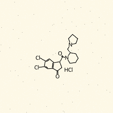 Cl.O=C1CC(C(=O)N2CCCCC2CN2CCCC2)c2cc(Cl)c(Cl)cc21